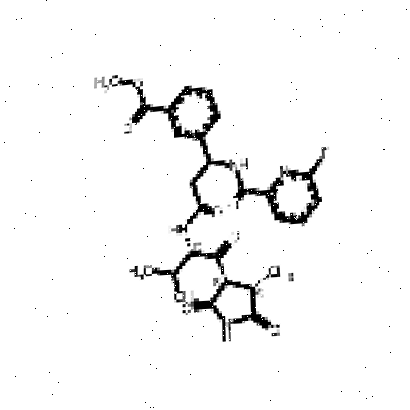 COC(=O)c1cccc(C(CC(=O)N[C@H](C(=O)[C@@H]2C(=O)NC(=O)[C@H]2C)C(C)C)NC(=O)c2cccc(F)n2)c1